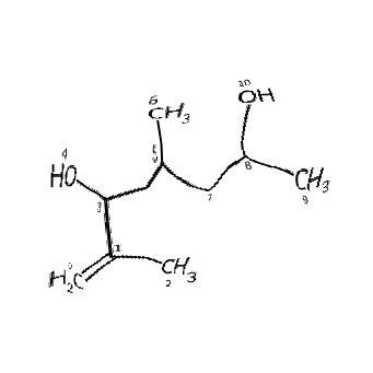 C=C(C)C(O)C(C)CC(C)O